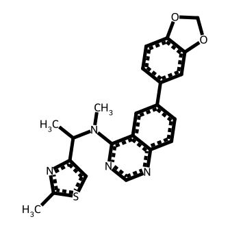 Cc1nc(C(C)N(C)c2ncnc3ccc(-c4ccc5c(c4)OCO5)cc23)cs1